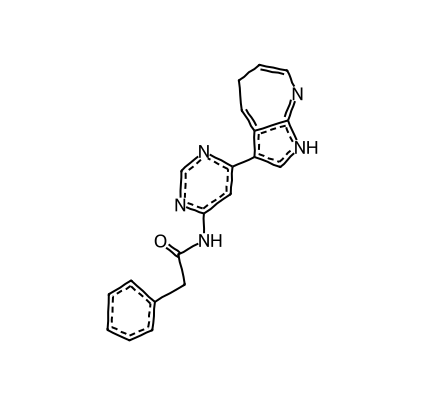 O=C(Cc1ccccc1)Nc1cc(-c2c[nH]c3c2=CCC=CN=3)ncn1